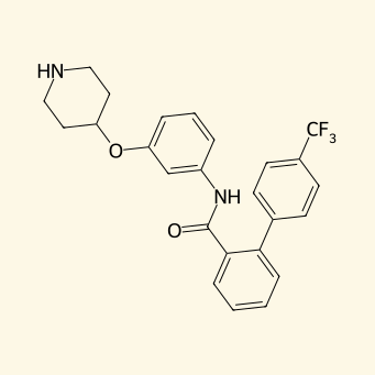 O=C(Nc1cccc(OC2CCNCC2)c1)c1ccccc1-c1ccc(C(F)(F)F)cc1